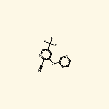 N#Cc1ncc(C(F)(F)F)cc1Oc1cccnc1